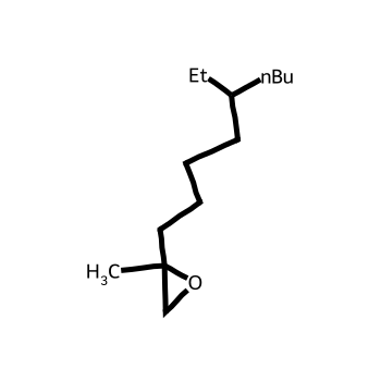 CCCCC(CC)CCCCC1(C)CO1